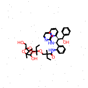 CCC(C)(COC(C)(CC)C1OC2(CO)OC(C)(C1O)C2(C)O)C(=O)Nc1ccccc1[C@H](Nc1ccccn1)[C@@H](c1ccccn1)[C@@H](O)c1ccccc1